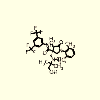 Cc1cccc(C)c1N1C[C@@](CN(C)C(C)(C)CO)(C(=O)Nc2cc(C(F)(F)F)cc(C(F)(F)F)c2)[C@H](C)C1=O